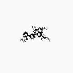 COc1ncccc1-c1cncc(O[C@H]2SC[C@@H](OC(C)=O)[C@H](OC(C)=O)[C@H]2OC(C)=O)c1